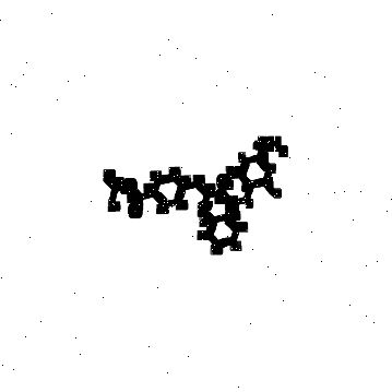 Cc1cc(N)cc(C)c1CN1C(=O)C(Cc2ccc(C(=O)OC(C)C)cc2)Sc2ccccc21